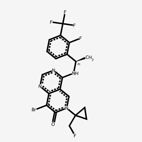 C[C@@H](Nc1ncnc2c(Br)c(=O)n(C3(CF)CC3)cc12)c1cccc(C(F)(F)F)c1F